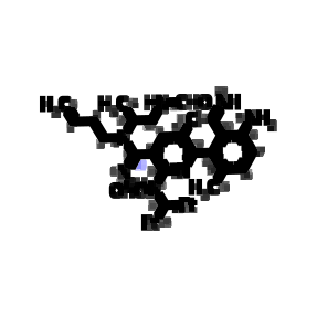 C=CCCN(/C(=N/C)c1cc(Cl)c(-c2c(C)ccc(N)c2C=N)nc1N(C=O)C(CC)CC)C(C)CNC=O